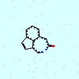 O=c1cc2cccc3c2c(cn1)C=C3